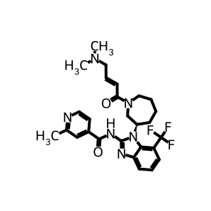 Cc1cc(C(=O)Nc2nc3cccc(C(F)(F)F)c3n2[C@@H]2CCCCN(C(=O)/C=C/CN(C)C)C2)ccn1